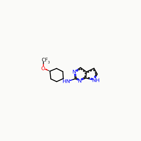 FC(F)(F)O[C@H]1CC[C@@H](Nc2ncc3cc[nH]c3n2)CC1